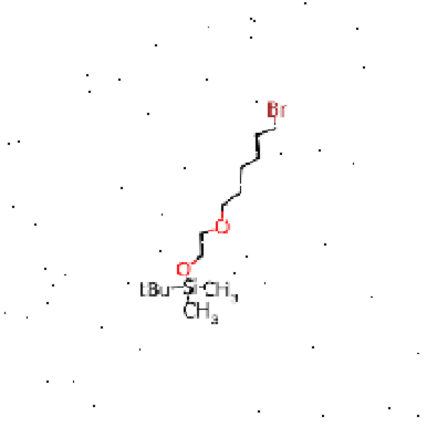 CC(C)(C)[Si](C)(C)OCCOCCCCCCBr